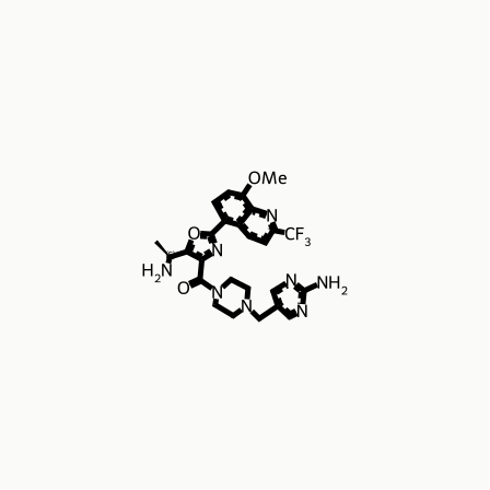 COc1ccc(-c2nc(C(=O)N3CCN(Cc4cnc(N)nc4)CC3)c([C@H](C)N)o2)c2ccc(C(F)(F)F)nc12